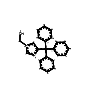 OCn1cnc(C(c2ccccc2)(c2ccccc2)c2ccccc2)c1